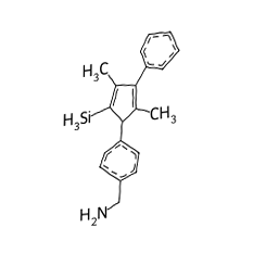 CC1=C([SiH3])C(c2ccc(CN)cc2)C(C)=C1c1ccccc1